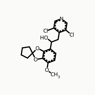 COc1ccc(C(O)Cc2c(Cl)cncc2Cl)c2c1OC1(CCCC1)O2